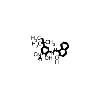 CCC(C)(C)c1cc(/N=N/c2c(O)ccc3ccccc23)c(O)c([N+](=O)[O-])c1